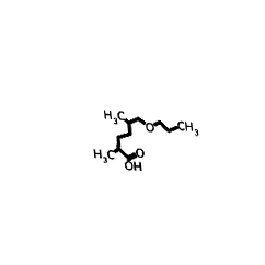 CCCOCC(C)CCC(C)C(=O)O